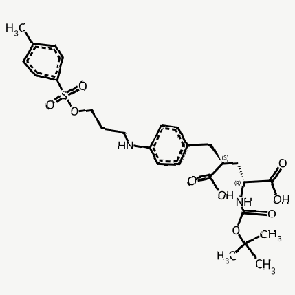 Cc1ccc(S(=O)(=O)OCCCNc2ccc(C[C@@H](C[C@@H](NC(=O)OC(C)(C)C)C(=O)O)C(=O)O)cc2)cc1